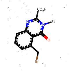 CCn1c(C(=O)O)nc2cccc(CBr)c2c1=O